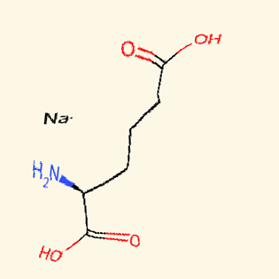 N[C@@H](CCCC(=O)O)C(=O)O.[Na]